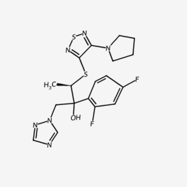 C[C@@H](Sc1nsnc1N1CCCC1)C(O)(Cn1cncn1)c1ccc(F)cc1F